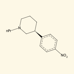 CCCN1CCC[C@@H](c2ccc([N+](=O)[O-])cc2)C1